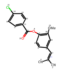 [C-]#[N+]/C(C#N)=C\c1ccc(OC(=O)c2ccc(Cl)cc2)c(OC)c1